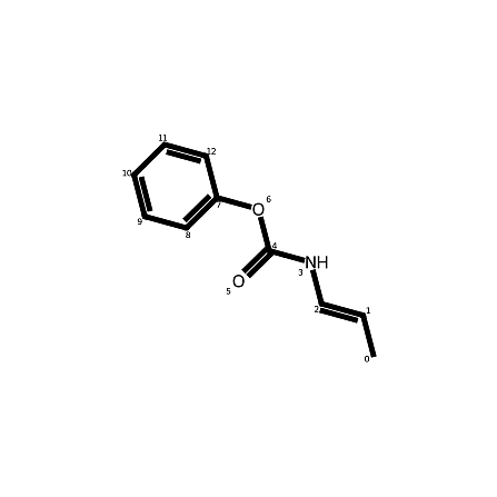 CC=CNC(=O)Oc1ccccc1